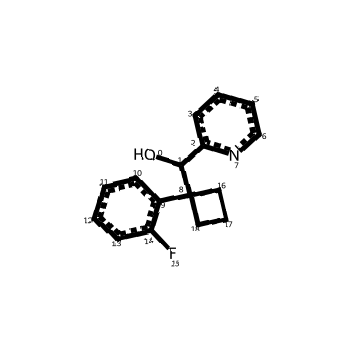 OC(c1ccccn1)C1(c2ccccc2F)CCC1